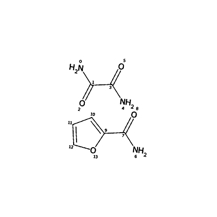 NC(=O)C(N)=O.NC(=O)c1ccco1